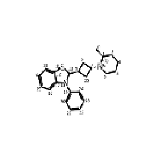 C[C@H]1CCCCN1[C@H]1C[C@H](C2Sc3ccccc3N2c2ccccc2)C1